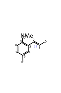 C/C=C/c1cc(C)ccc1NC